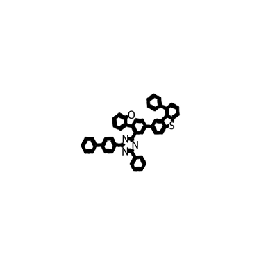 c1ccc(-c2ccc(-c3nc(-c4ccccc4)nc(-c4cc(-c5ccc6sc7cccc(-c8ccccc8)c7c6c5)cc5oc6ccccc6c45)n3)cc2)cc1